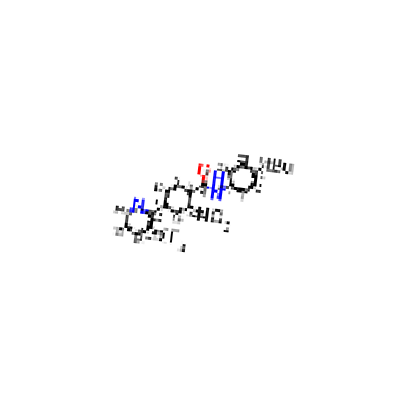 CC(C)(C)c1ccc(NC(=O)c2ccc(-c3ncccc3C(F)(F)F)cc2[N+](=O)[O-])cc1